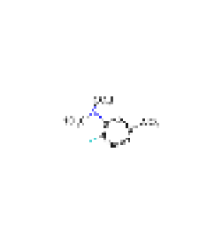 O=C(O)N(C(=O)O)c1cc([N+](=O)[O-])ccc1F